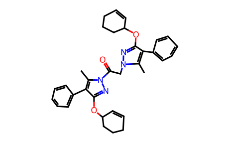 Cc1c(-c2ccccc2)c(OC2C=CCCC2)nn1CC(=O)n1nc(OC2C=CCCC2)c(-c2ccccc2)c1C